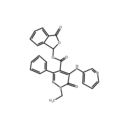 CCn1nc(-c2ccccc2)c(C(=O)OC2OC(=O)c3ccccc32)c(Nc2cccnc2)c1=O